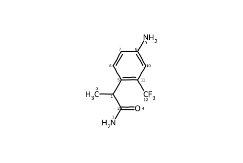 CC(C(N)=O)c1ccc(N)cc1C(F)(F)F